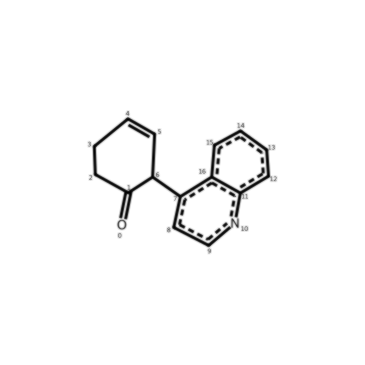 O=C1CCC=CC1c1ccnc2ccccc12